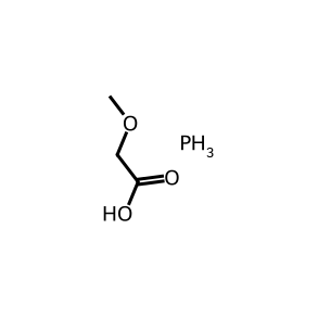 COCC(=O)O.P